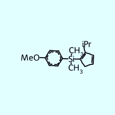 COc1ccc([Si](C)(C)C2=C(C(C)C)C=CC2)cc1